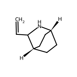 C=CC1N[C@H]2CC[C@@H]1CC2